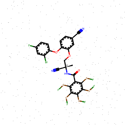 C[C@@](C#N)(COc1cc(C#N)ccc1Oc1ccc(F)cc1Br)NC(=O)c1c(SF)c(SF)c(SF)c(SF)c1SF